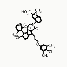 Cc1cc(OCCCc2c3n(c4c(-c5c(C)ncnc5C)c(Cl)ccc24)[C@H](C)CN(c2cccc4c2cc(C(=O)O)n4C)C3=O)cc(C)c1Cl